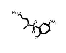 CN(CCS(=O)(=O)O)S(=O)(=O)c1cc([N+](=O)[O-])ccc1Cl